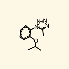 Cc1nnnn1-c1ccccc1OC(C)C